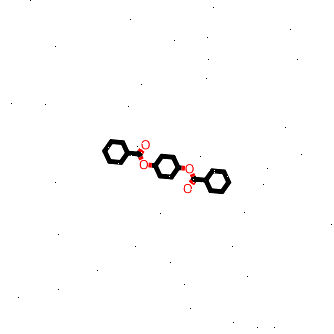 O=C(OC1CCC(OC(=O)C2CCCCC2)CC1)C1CCCCC1